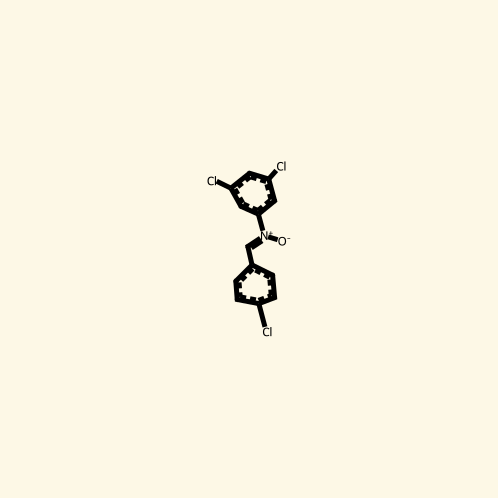 [O-][N+](=Cc1ccc(Cl)cc1)c1cc(Cl)cc(Cl)c1